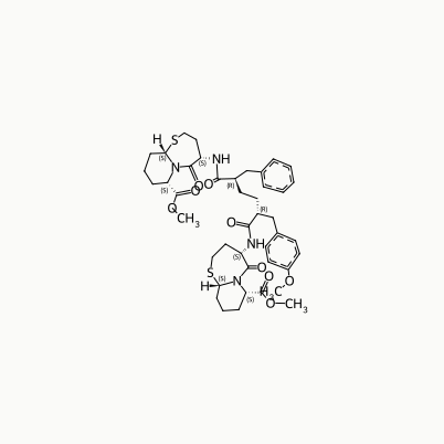 COC(=O)[C@@H]1CCC[C@@H]2SCC[C@H](NC(=O)[C@H](CC[C@H](Cc3ccc(OC)cc3)C(=O)N[C@H]3CCS[C@H]4CCC[C@@H](C(=O)OC)N4C3=O)Cc3ccccc3)C(=O)N21